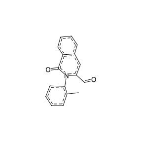 Cc1ccccc1-n1c(C=O)cc2ccccc2c1=O